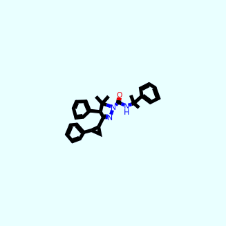 CC(C)(NC(=O)N1N=C(C2CC2c2ccccc2)C(c2ccccc2)C1(C)C)c1ccccc1